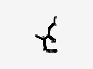 CC=CC(=O)C(C)=C[C]=O